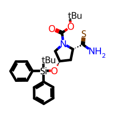 CC(C)(C)OC(=O)N1C[C@@H](O[Si](c2ccccc2)(c2ccccc2)C(C)(C)C)C[C@H]1C(N)=S